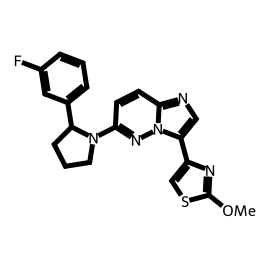 COc1nc(-c2cnc3ccc(N4CCCC4c4cccc(F)c4)nn23)cs1